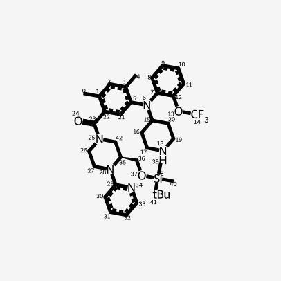 Cc1cc(C)c(N(c2ccccc2OC(F)(F)F)C2CCNCC2)cc1C(=O)N1CCN(c2ccccn2)[C@H](CO[Si](C)(C)C(C)(C)C)C1